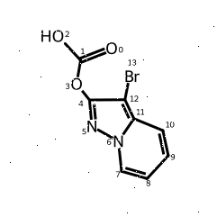 O=C(O)Oc1nn2ccccc2c1Br